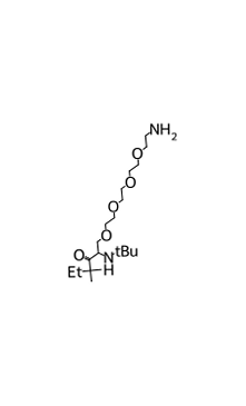 CCC(C)(C)C(=O)C(COCCOCCOCCOCCN)NC(C)(C)C